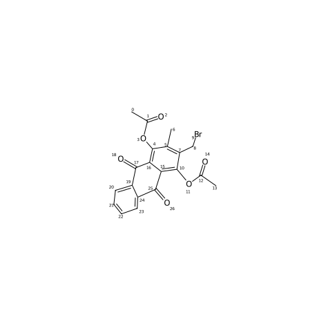 CC(=O)Oc1c(C)c(CBr)c(OC(C)=O)c2c1C(=O)c1ccccc1C2=O